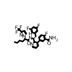 CCCCC(C(=O)N[C@@H](Cc1cc(F)cc(F)c1)c1ncccc1-c1ccc(F)c(C(N)=O)c1)n1ccc(C(F)(F)F)n1